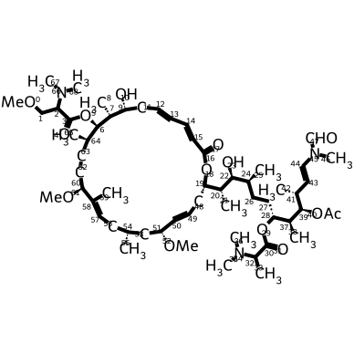 COCC(C(=O)O[C@H]1[C@H](C)[C@H](O)C/C=C/C=C/C(=O)O[C@H]([C@@H](C)[C@@H](O)[C@@H](C)CC[C@@H](OC(=O)C(C)N(C)C)[C@H](C)[C@H](OC(C)=O)[C@H](C)/C=C/N(C)C=O)C/C=C/[C@H](OC)C[C@H](C)C/C=C(\C)[C@@H](OC)CC[C@H]1C)N(C)C